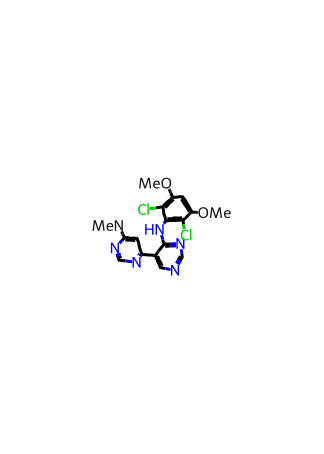 CNc1cc(-c2cncnc2Nc2c(Cl)c(OC)cc(OC)c2Cl)ncn1